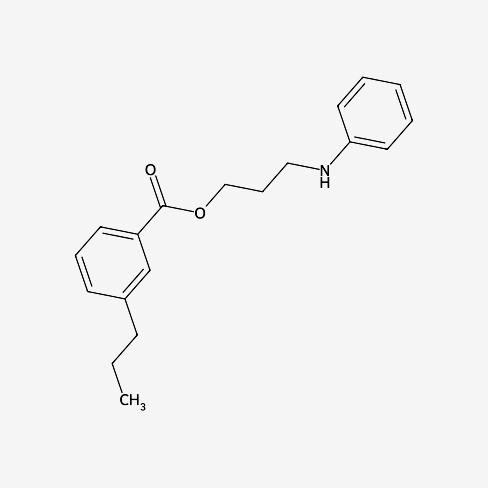 CCCc1cccc(C(=O)OCCCNc2ccccc2)c1